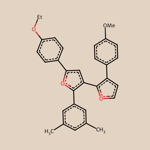 CCOc1ccc(-c2cc(-c3occc3-c3ccc(OC)cc3)c(-c3cc(C)cc(C)c3)o2)cc1